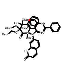 CCCCCCCCOC1(OCC(C)CCC)C(=O)[N+](CCCCCC)(N(C(=O)c2ccccc2CCCCCC)c2ccc3ccc(=O)[nH]c3c2)c2cc(NC(=O)c3ccccc3)ccc2C1(O)OC